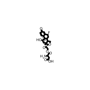 CC12CC(O)[C@@]3(F)C(C[C@H](F)C4=CC(=O)C=C[C@@]43C)C1CO[C@@H]2C(=O)COC(=O)C(N)CC(=O)O